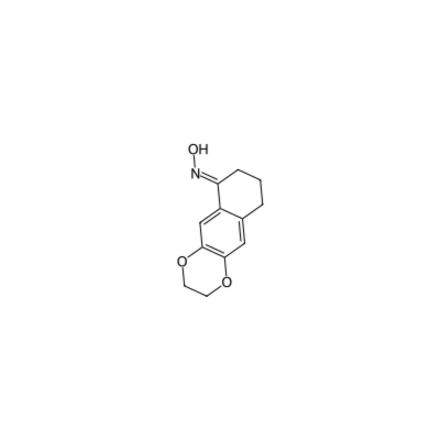 ON=C1CCCc2cc3c(cc21)OCCO3